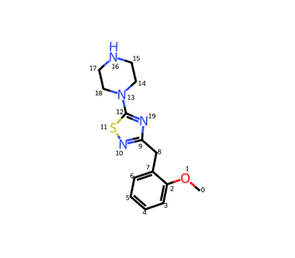 COc1ccccc1Cc1nsc(N2CCNCC2)n1